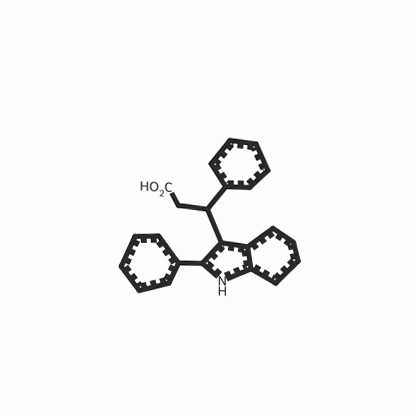 O=C(O)CC(c1ccccc1)c1c(-c2ccccc2)[nH]c2ccccc12